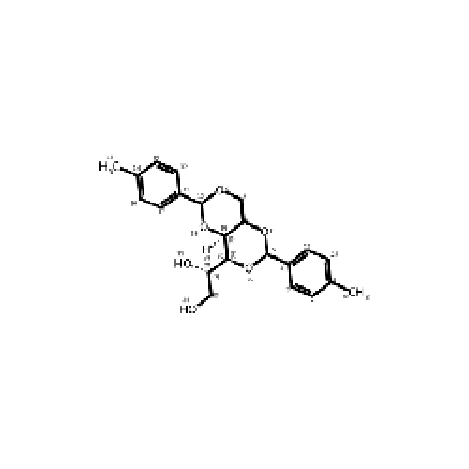 Cc1ccc(C2OC3COC(c4ccc(C)cc4)O[C@@H]3[C@H]([C@@H](O)CO)O2)cc1